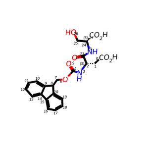 O=C(O)C[C@H](NC(=O)OCC1c2ccccc2-c2ccccc21)C(=O)N[C@@H](CO)C(=O)O